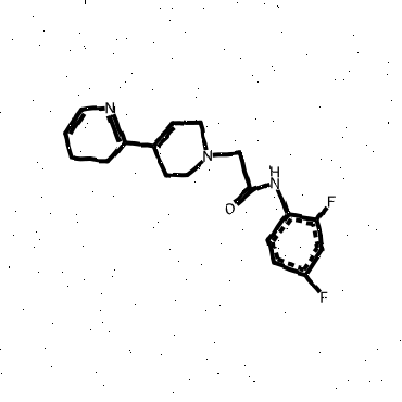 O=C(CN1CC=C(C2=NC=CCC2)CC1)Nc1ccc(F)cc1F